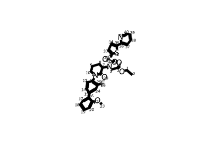 CCOC(=O)CN(C1CCCN(c2ccc(-c3ccccc3OC)cc2F)C1=O)S(=O)(=O)c1ccc(-c2ccccn2)s1